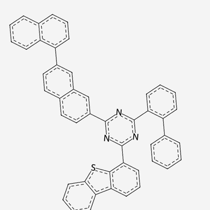 c1ccc(-c2ccccc2-c2nc(-c3ccc4ccc(-c5cccc6ccccc56)cc4c3)nc(-c3cccc4c3sc3ccccc34)n2)cc1